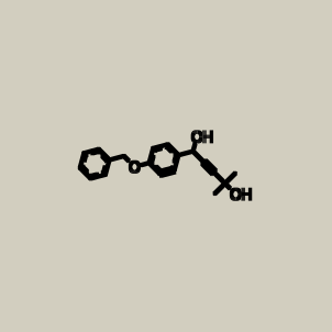 CC(C)(O)C#CC(O)c1c#cc(OCc2ccccc2)cc1